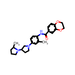 Cc1cc(N2CCC(N3CCCC3C)C2)ccc1NC(=O)c1ccc2c(c1)OCCO2